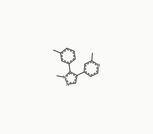 Cc1cccc(-c2c(-c3ccnc(C)c3)cnn2C)c1